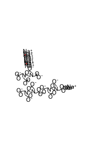 O=C([O-])CN(CCN(CC(=O)[O-])CC(=O)[O-])CC(=O)[O-].O=C([O-])CN(CCN(CC(=O)[O-])CC(=O)[O-])CC(=O)[O-].O=C([O-])CN(CCN(CC(=O)[O-])CC(=O)[O-])CC(=O)[O-].[Na+].[Na+].[Na+].[Na+].[Na+].[Na+].[Na+].[Na+].[Na+].[Na+].[Na+].[Na+]